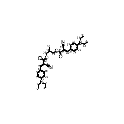 CCN(CC)c1ccc(/C=C(\C#N)C(=O)OCC(C)COC(=O)/C(C#N)=C/c2ccc(N(CC)CC)cc2)cc1